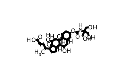 CC(CCC(=O)O)C1CC[C@H]2[C@H]3C(O)C[C@@H]4C[C@H](OC(=O)NC(CO)(CO)CO)CCC4(C)C3CC(O)C12C